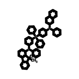 CC1(C)c2ccccc2-c2cccc(N(c3ccccc3)c3cccc([Si](c4ccccc4)(c4ccccc4)c4ccc(N(c5ccccc5)c5ccc6ccccc6c5)cc4)c3)c21